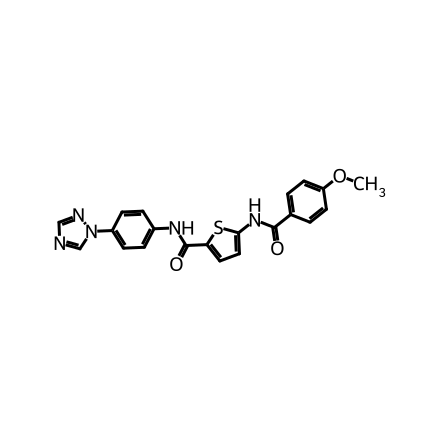 COc1ccc(C(=O)Nc2ccc(C(=O)Nc3ccc(-n4cncn4)cc3)s2)cc1